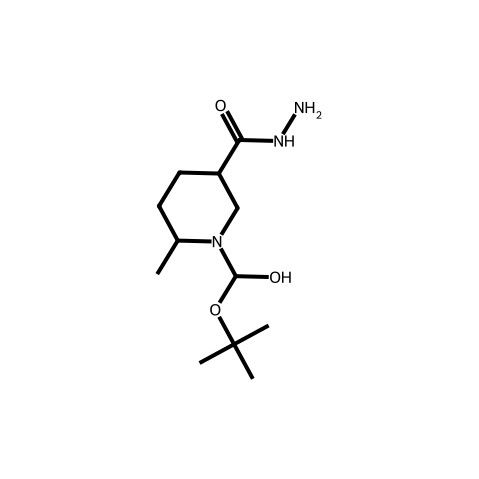 CC1CCC(C(=O)NN)CN1C(O)OC(C)(C)C